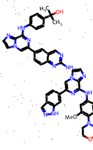 CC(C)(O)c1ccc(Nc2nc(-c3ccc4nc(N)ncc4c3)cn3ccnc23)cc1.COc1cc(Nc2nc(-c3ccc4cn[nH]c4c3)cn3ccnc23)ccc1N1CCOCC1